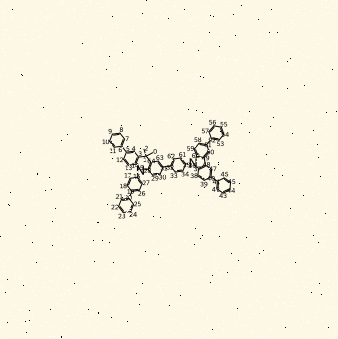 CC1(C)c2cc(-c3ccccc3)ccc2N(c2ccc(-c3ccccc3)cc2)c2ccc(-c3ccc(-n4c5ccc(-c6ccccc6)cc5c5cc(-c6ccccc6)ccc54)cc3)cc21